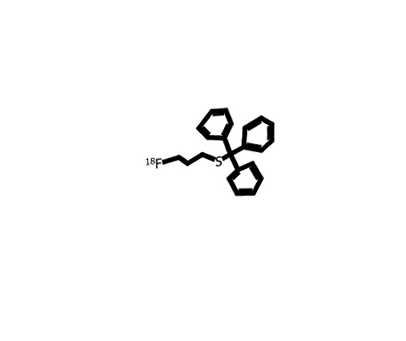 [18F]CCCSC(c1ccccc1)(c1ccccc1)c1ccccc1